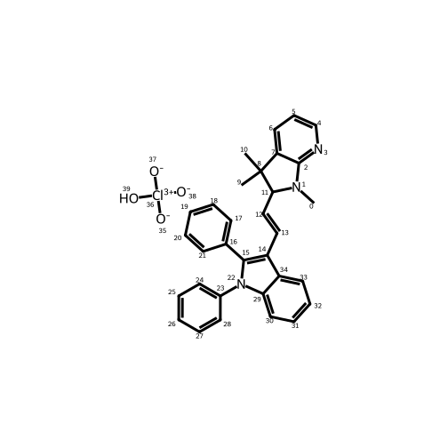 CN1c2ncccc2C(C)(C)C1C=Cc1c(-c2ccccc2)n(-c2ccccc2)c2ccccc12.[O-][Cl+3]([O-])([O-])O